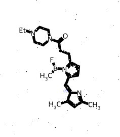 CCN1CCN(C(=O)CCc2ccc(/C=C3\N=C(C)C=C3C)n2B(C)F)CC1